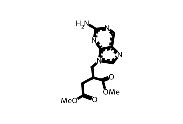 COC(=O)CC(Cn1cnc2cnc(N)nc21)C(=O)OC